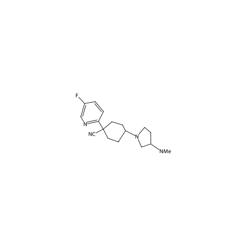 CNC1CCN(C2CCC(C#N)(c3ccc(F)cn3)CC2)C1